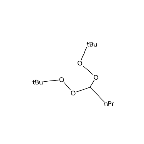 [CH2]CCC(OOC(C)(C)C)OOC(C)(C)C